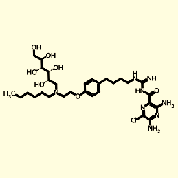 CCCCCCN(CCOc1ccc(CCCCNC(=N)NC(=O)c2nc(Cl)c(N)nc2N)cc1)C[C@H](O)[C@@H](O)[C@H](O)[C@H](O)CO